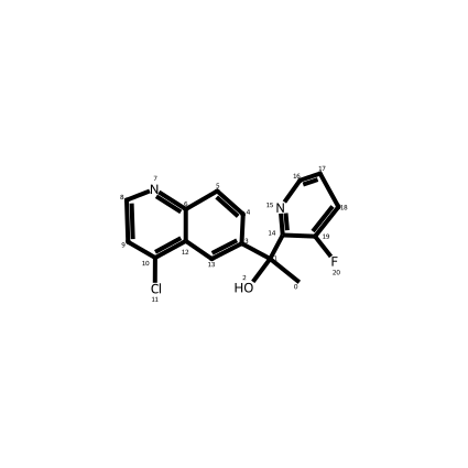 CC(O)(c1ccc2nccc(Cl)c2c1)c1ncccc1F